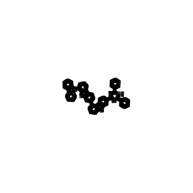 c1ccc(C2=NC(c3ccc4c(c3)sc3cccc(-c5ccc6c(c5)sc5c(-n7c8ccccc8c8ccccc87)cccc56)c34)=NC(c3ccccc3)N2)cc1